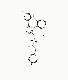 COc1ncnc(OC)c1-n1c(NS(=O)(=O)[C@H](C)Cc2ncc(F)cn2)nnc1-c1ccn(C)n1